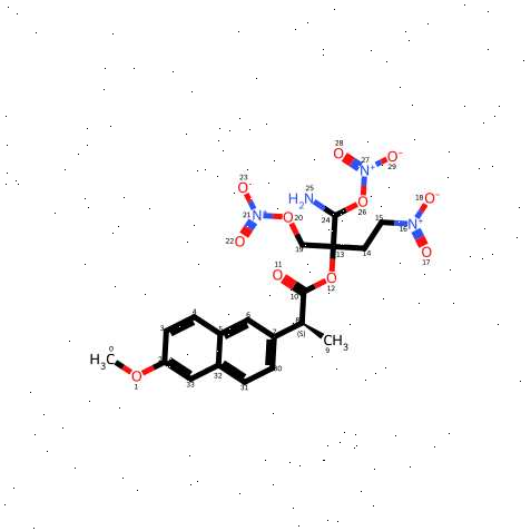 COc1ccc2cc([C@H](C)C(=O)OC(CC[N+](=O)[O-])(CO[N+](=O)[O-])C(N)O[N+](=O)[O-])ccc2c1